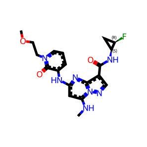 CNc1cc(Nc2cccn(CCOC)c2=O)nc2c(C(=O)N[C@H]3C[C@H]3F)cnn12